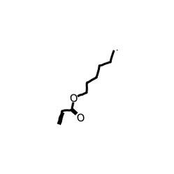 [CH2]CCCCCOC(=O)C=C